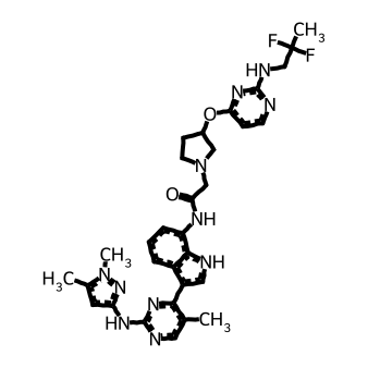 Cc1cnc(Nc2cc(C)n(C)n2)nc1-c1c[nH]c2c(NC(=O)CN3CCC(Oc4ccnc(NCC(C)(F)F)n4)C3)cccc12